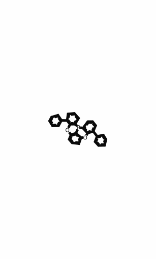 c1ccc(-c2cccc3c2Oc2cccc4c2B3c2cccc(-c3ccccc3)c2O4)cc1